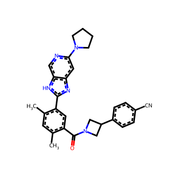 Cc1cc(C)c(-c2nc3cc(N4CCCC4)ncc3[nH]2)cc1C(=O)N1CC(c2ccc(C#N)cc2)C1